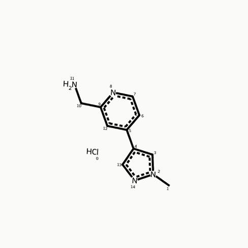 Cl.Cn1cc(-c2ccnc(CN)c2)cn1